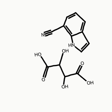 N#Cc1cccc2cc[nH]c12.O=C(O)C(O)C(O)C(=O)O